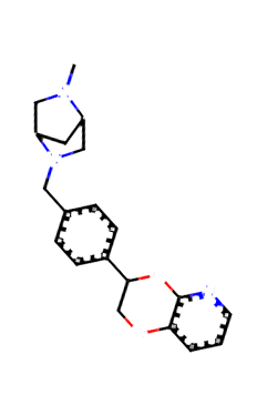 CN1CC2CC1CN2Cc1ccc(C2COc3cccnc3O2)cc1